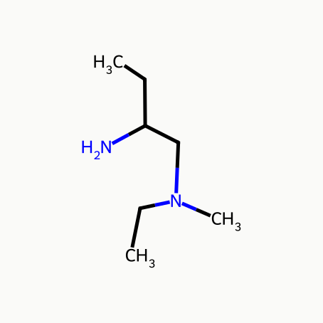 CCC(N)CN(C)CC